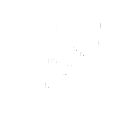 C[C@H]1CN(C(=O)OC(C)(C)C)C[C@H](F)[C@@H]1NC(=O)c1cc(Br)cc2c(CC(F)(F)F)cnn12